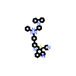 c1ccc(-c2nc(-c3ccc(-c4ccc5nc(-c6ccccc6)c6c(-c7ccncc7)c(-c7ccncc7)sc6c5c4)cc3)nc(-c3cccc(-n4c5ccccc5c5ccccc54)c3)n2)cc1